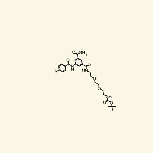 CC(C)(C)OC(=O)NCCOCCOCCNC(=O)c1cc(NC(=O)c2ccc(I)cc2)cc(C(N)=O)c1